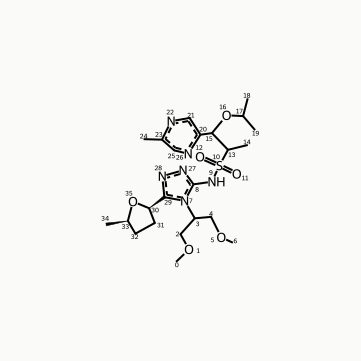 COCC(COC)n1c(NS(=O)(=O)C(C)C(OC(C)C)c2cnc(C)cn2)nnc1[C@H]1CC[C@@H](C)O1